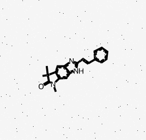 CN1C(=O)C(C)(C)c2cc3nc(/C=C/c4ccccc4)[nH]c3cc21